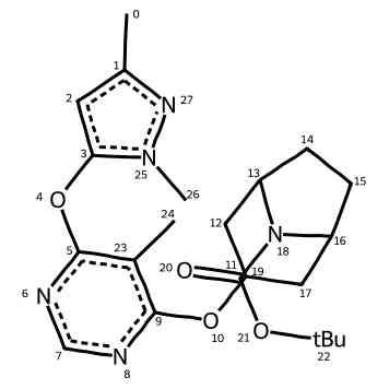 Cc1cc(Oc2ncnc(OC3CC4CCC(C3)N4C(=O)OC(C)(C)C)c2C)n(C)n1